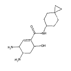 NC1C=C(C(=O)NC2CCC3(CC2)CC3)C(O)CC1N